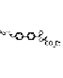 CCCCCSc1ccc(-c2ccc(C(=O)O[C@@H](C)C(=O)OCC)cc2)cc1